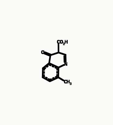 Cc1cccc2c1N=CC(C(=O)O)C2=O